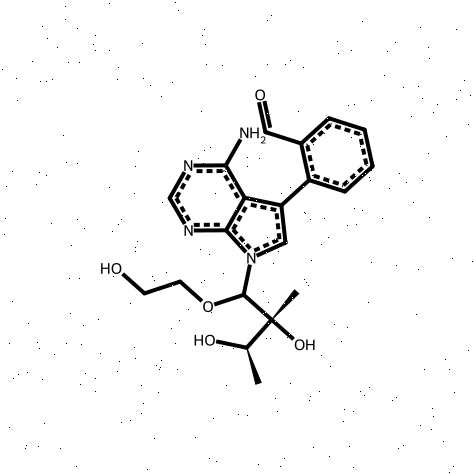 C[C@@H](O)[C@@](C)(O)C(OCCO)n1cc(-c2ccccc2C=O)c2c(N)ncnc21